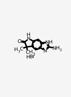 Br.CC1(C)C(=O)Nc2cc3[nH]c(N)nc3cc21